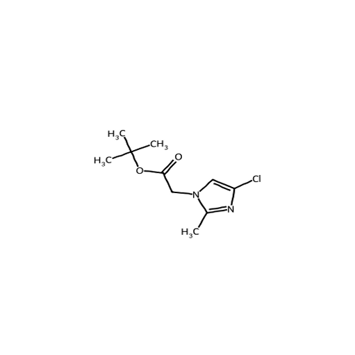 Cc1nc(Cl)cn1CC(=O)OC(C)(C)C